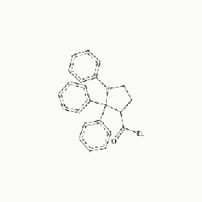 CCC(=O)C1CCP(c2ccccc2)C1(c1ccccc1)c1ccccc1